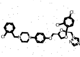 Clc1ccc([C@]2(Cn3cncn3)OC[C@@H](COc3ccc(N4CCN(Cc5ccccc5Cl)CC4)cc3)O2)c(Cl)c1